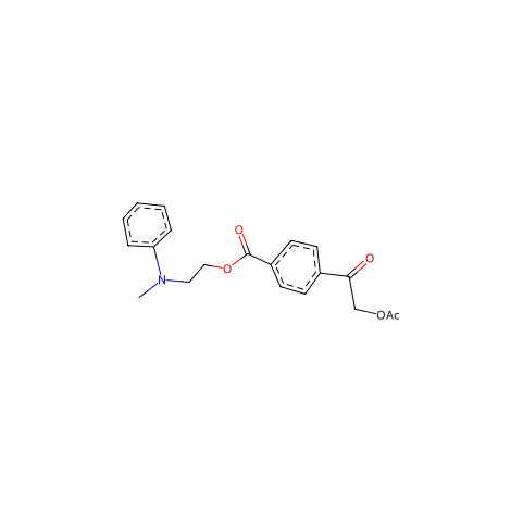 CC(=O)OCC(=O)c1ccc(C(=O)OCCN(C)c2ccccc2)cc1